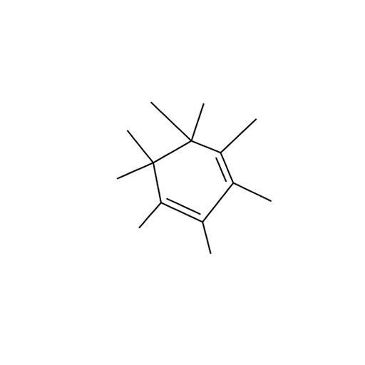 CC1=C(C)C(C)(C)C(C)(C)C(C)=C1C